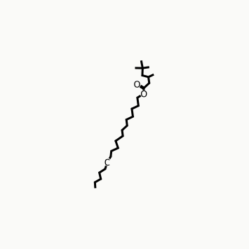 CCCCCCCCCCCCCCCCCCOC(=O)CC(C)CC(C)(C)C